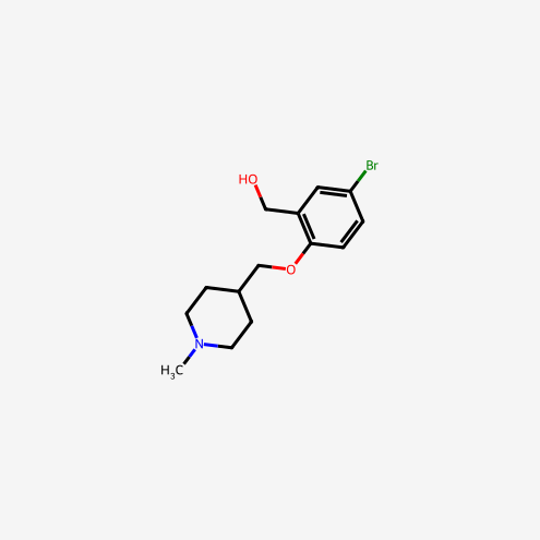 CN1CCC(COc2ccc(Br)cc2CO)CC1